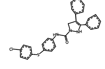 O=C(Nc1ccc(Sc2ccc(Cl)cc2)cc1)N1CC(c2ccccc2)=C(c2ccccc2)N1